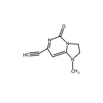 C#Cc1cc2n(c(=O)n1)CCN2C